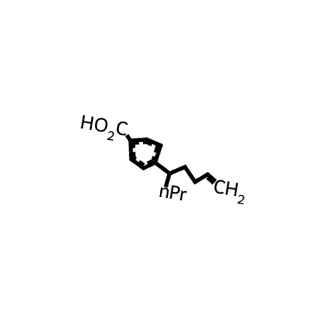 C=CCCC(CCC)c1ccc(C(=O)O)cc1